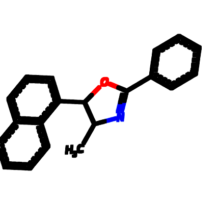 CC1N=C(c2ccccc2)OC1c1cccc2ccccc12